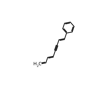 C=CC=CC#CC=Cc1ccccc1